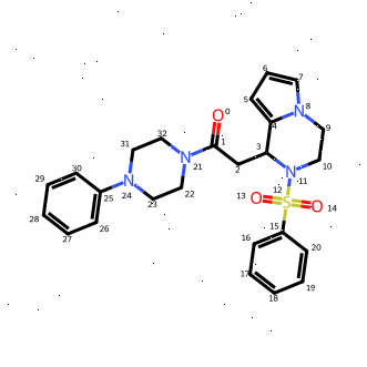 O=C(CC1c2cccn2CCN1S(=O)(=O)c1ccccc1)N1CCN(c2ccccc2)CC1